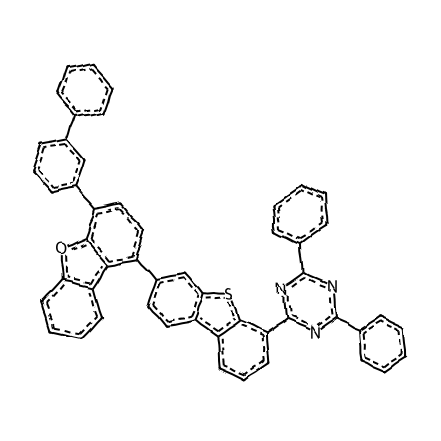 c1ccc(-c2cccc(-c3ccc(-c4ccc5c(c4)sc4c(-c6nc(-c7ccccc7)nc(-c7ccccc7)n6)cccc45)c4c3oc3ccccc34)c2)cc1